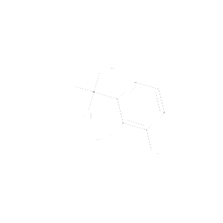 CCCCCC(C)(C)c1cccc(CCCC)c1O